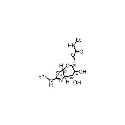 CCCNC1=N[C@@H]2[C@@H](O)[C@H](O)[C@@H](COC(=O)NCC)O[C@@H]2S1